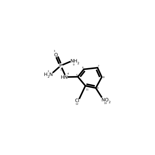 NP(N)(=O)Nc1cccc([N+](=O)[O-])c1Cl